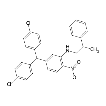 CC(CNc1cc(C(c2ccc(Cl)cc2)c2ccc(Cl)cc2)ccc1[N+](=O)[O-])c1ccccc1